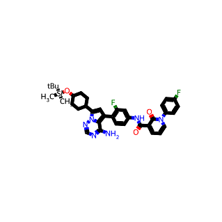 CC(C)(C)[Si](C)(C)OC1CCC(c2cc(-c3ccc(NC(=O)c4cccn(-c5ccc(F)cc5)c4=O)cc3F)c3c(N)ncnn23)CC1